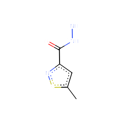 Cc1cc(C(=O)NN)ns1